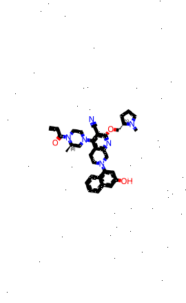 C=CC(=O)N1CCN(c2c(C#N)c(OC[C@@H]3CCCN3C)nc3c2CCN(c2cc(O)cc4ccccc24)C3)C[C@H]1C